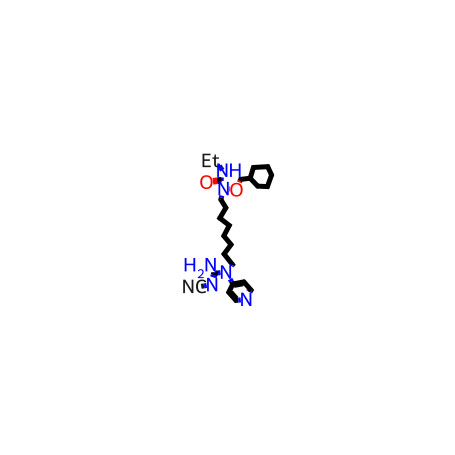 CCNC(=O)N(CCCCCCCCN(C(N)=NC#N)c1ccncc1)OCC1CCCCC1